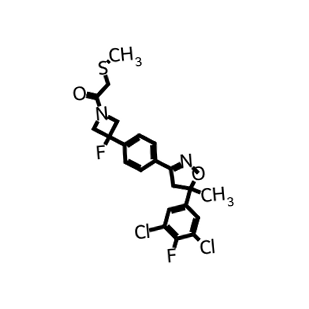 CSCC(=O)N1CC(F)(c2ccc(C3=NOC(C)(c4cc(Cl)c(F)c(Cl)c4)C3)cc2)C1